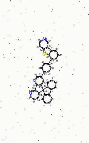 c1ccc2c(c1)-c1ccccc1C21c2cccnc2-c2ncc(-c3ccc(-c4cccc5c4sc4ccncc45)cc3)cc21